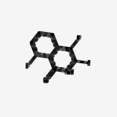 O=c1[nH]c(I)c(F)c2cccc(F)c12